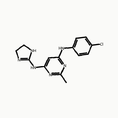 Cc1nc(NC2=NCCN2)cc(Nc2ccc(Cl)cc2)n1